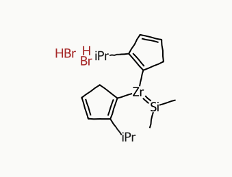 Br.Br.CC(C)C1=[C]([Zr]([C]2=C(C(C)C)C=CC2)=[Si](C)C)CC=C1